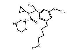 COc1cc(OCCCOCl)cc(C(C)N(C(=O)[C@H]2CNCCO2)C2CC2)c1